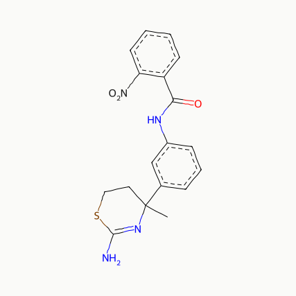 CC1(c2cccc(NC(=O)c3ccccc3[N+](=O)[O-])c2)CCSC(N)=N1